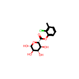 Cc1cccc(OC(=O)[C@H]2O[C@@H](O)[C@H](O)[C@@H](O)[C@@H]2O)c1Cl